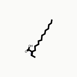 C/C=C(\CCCCCCCCCCCC)C(=O)O